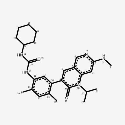 CNc1cc2c(cn1)cc(-c1cc(NC(=O)NC3CCCCC3)c(F)cc1C)c(=O)n2C(C)C